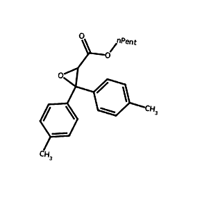 CCCCCOC(=O)C1OC1(c1ccc(C)cc1)c1ccc(C)cc1